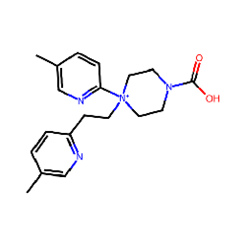 Cc1ccc(CC[N+]2(c3ccc(C)cn3)CCN(C(=O)O)CC2)nc1